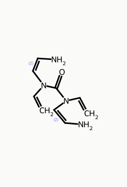 C=CN(/C=C\N)C(=O)N(C=C)/C=C\N